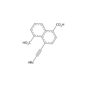 CCCCC#Cc1ccc(C(=O)O)c2cccc(C(=O)O)c12